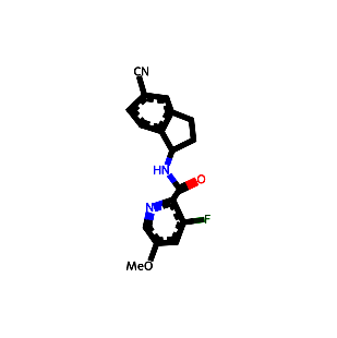 COc1cnc(C(=O)NC2CCc3cc(C#N)ccc32)c(F)c1